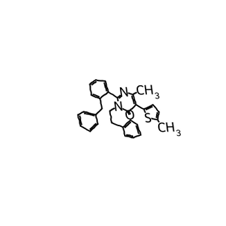 Cc1ccc(-c2c(C)nc(-c3ccccc3Cc3ccccc3)n(CCc3ccccc3)c2=O)s1